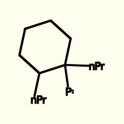 CCCC1CCCCC1([P])CCC